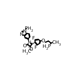 CO[C@H]1C(=O)N(c2ccc3c(c2)ncn3P)[C@H]1c1c(F)cc(OCCC(C)P)cc1F